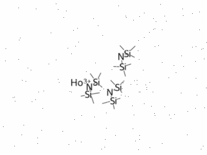 C[Si](C)(C)[N-][Si](C)(C)C.C[Si](C)(C)[N-][Si](C)(C)C.C[Si](C)(C)[N-][Si](C)(C)C.[Ho+3]